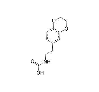 O=C(O)NCCc1ccc2c(c1)OCCO2